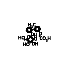 Cc1ccc(OCC(=O)O)cc1-c1ccccc1O[C@H]1O[C@H](CO)[C@@H](O)[C@H](O)[C@@H]1O